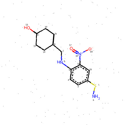 NSc1ccc(NCC2CCC(O)CC2)c([N+](=O)[O-])c1